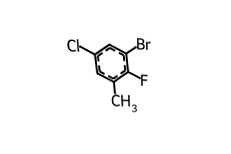 Cc1cc(Cl)cc(Br)c1F